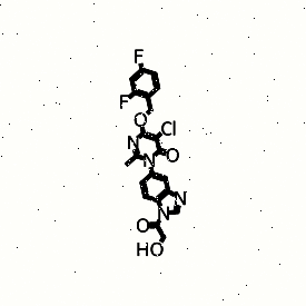 Cc1nc(OCc2ccc(F)cc2F)c(Cl)c(=O)n1-c1ccc2c(c1)ncn2C(=O)CO